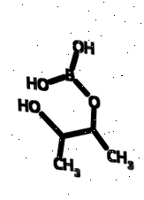 CC(O)C(C)OB(O)O